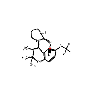 CC1(C)Oc2ccc(SC(F)(F)F)cc2C(N2CCCN/C2=N/C#N)C1O